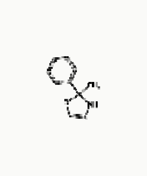 CC1(c2ccccc2)N[C]=CO1